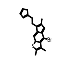 CC1=C(CCC2=CC=CC2)C2=CC3SC(C)=C(C)C3=C(Br)C2=C1